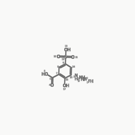 F.F.N.N.O=C(O)c1cc(S(=O)(=O)O)ccc1O